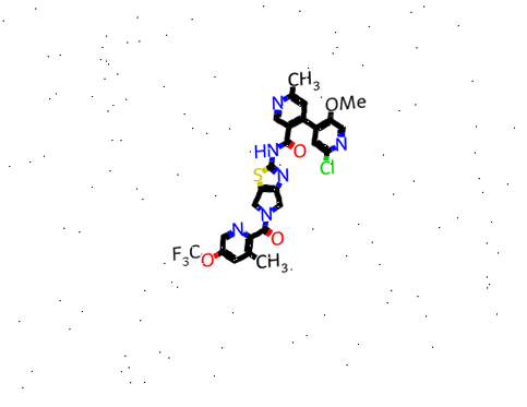 COc1cnc(Cl)cc1-c1cc(C)ncc1C(=O)Nc1nc2c(s1)CN(C(=O)c1ncc(OC(F)(F)F)cc1C)C2